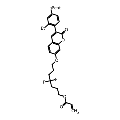 C=CC(=O)OCCCC(F)(F)CCCOc1ccc2cc(-c3ccc(CCCCC)cc3CC)c(=O)oc2c1